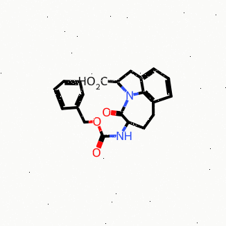 O=C(NC1CCc2cccc3c2N(C1=O)C(C(=O)O)C3)OCc1ccccc1